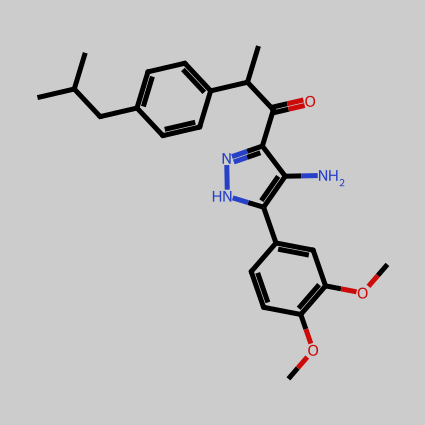 COc1ccc(-c2[nH]nc(C(=O)C(C)c3ccc(CC(C)C)cc3)c2N)cc1OC